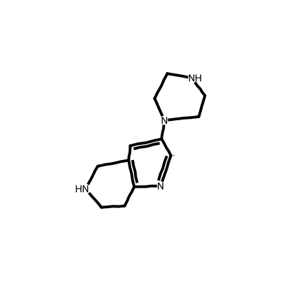 [c]1nc2c(cc1N1CCNCC1)CNCC2